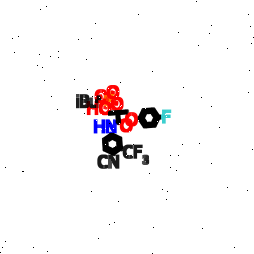 CCC(C)OP(=O)(O)OC(C)(COc1ccc(F)cc1)C(=O)Nc1ccc(C#N)c(C(F)(F)F)c1